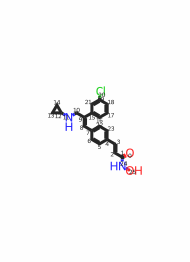 O=C(C=Cc1ccc(/C=C(/CNC2CC2)c2cccc(Cl)c2)cc1)NO